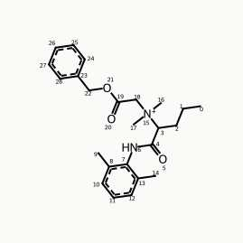 CCCC(C(=O)Nc1c(C)cccc1C)[N+](C)(C)CC(=O)OCc1ccccc1